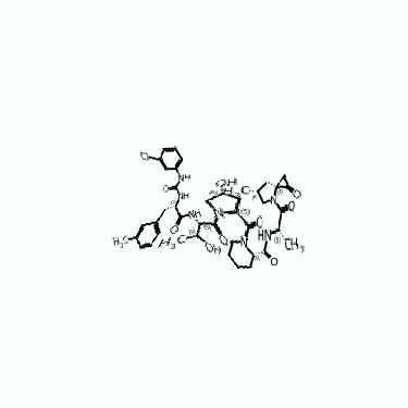 Cc1cccc(C[C@H](NC(=O)Nc2cccc(Cl)c2)C(=O)N[C@H](C(=O)N2C[C@H](O)C[C@H]2C(=O)N2CCCC[C@H]2C(=O)N[C@@H](C)C(=O)N2C[C@H](C)C[C@@]23CC3=O)[C@H](C)O)c1